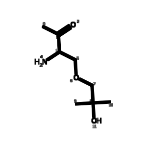 CC(=O)C(N)COCC(C)(C)O